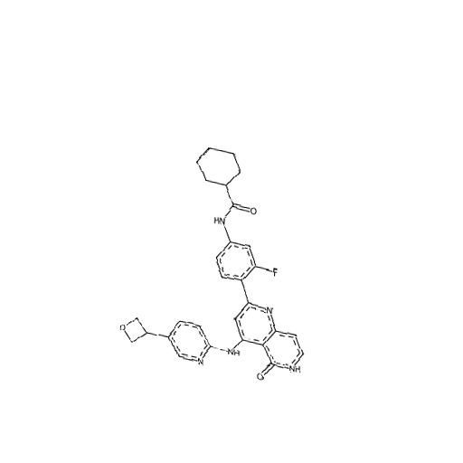 O=C(Nc1ccc(-c2cc(Nc3ccc(C4COC4)cn3)c3c(=O)[nH]ccc3n2)c(F)c1)C1CCCCC1